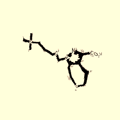 CS(C)(C)CCOCn1nc(C(=O)O)c2c1COCC2